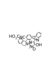 Cn1c(N2CCc3ccc(C(=O)O)cc3C2c2ccccc2C#N)nc(-c2nc3ccccc3o2)c(O)c1=O